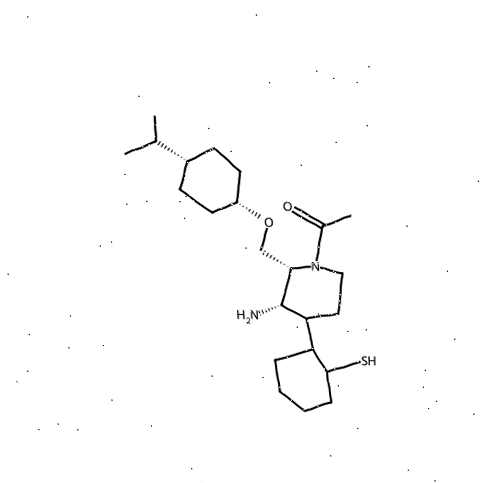 CC(=O)N1CCC(C2CCCCC2S)[C@H](N)[C@@H]1CO[C@H]1CC[C@@H](C(C)C)CC1